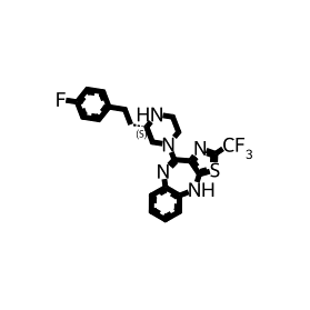 Fc1ccc(CC[C@H]2CN(C3=Nc4ccccc4Nc4sc(C(F)(F)F)nc43)CCN2)cc1